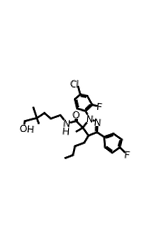 CCCCC1C(c2ccc(F)cc2)=NN(c2ccc(Cl)cc2F)C1(C)C(=O)NCCCC(C)(C)CO